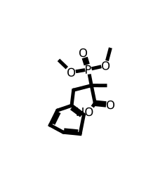 COP(=O)(OC)C(C)(Cc1ccccc1)C(=O)O